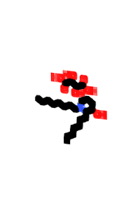 CCCCCCCCN1CCCC(O)C1CCCCCCC.O=C(O)C(O)C(O)C(=O)O